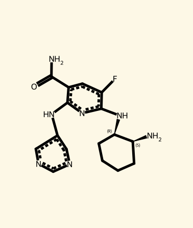 NC(=O)c1cc(F)c(N[C@@H]2CCCC[C@@H]2N)nc1Nc1cncnc1